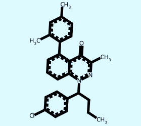 CCCC(c1ccc(Cl)cc1)n1nc(C)c(=O)c2c(-c3ccc(C)cc3C)cccc21